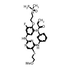 C=CC(=O)Nc1cccc(Nc2nc(Nc3ccc(OCCC[SH](C)(=O)P)c(F)c3)ncc2SCCOC)c1